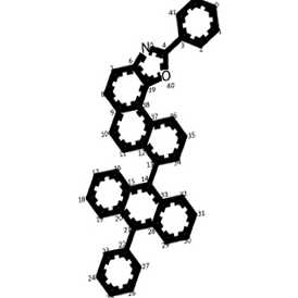 c1ccc(-c2nc3ccc4ccc5c(-c6c7ccccc7c(-c7ccccc7)c7ccccc67)cccc5c4c3o2)cc1